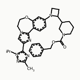 Cc1nc(-c2cn3c(n2)-c2ccc(N4CCC4C4CCCN(C(=O)OCc5ccccc5)C4)cc2OCC3)n(C(C)C)n1